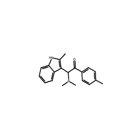 Cc1ccc(C(=O)C(c2c(C)[nH]c3ccccc23)N(C)C)cc1